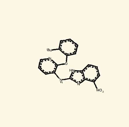 CC(C)(C)c1ccccc1Oc1ncccc1Nc1nc2c([N+](=O)[O-])cccc2[nH]1